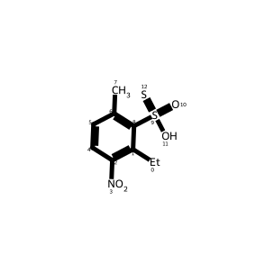 CCc1c([N+](=O)[O-])ccc(C)c1S(=O)(O)=S